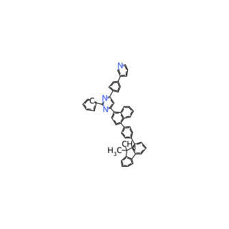 CC1(C)c2ccccc2-c2cccc(-c3ccc(-c4ccc(-c5cc(-c6ccc(-c7cccnc7)cc6)nc(-c6ccccc6)n5)c5ccccc45)cc3)c21